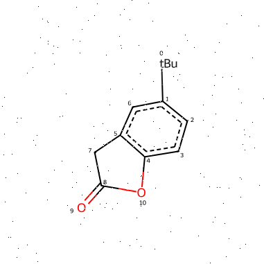 CC(C)(C)c1ccc2c(c1)CC(=O)O2